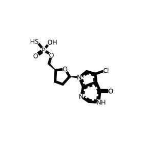 O=c1[nH]cnc2c1c(Cl)cn2[C@H]1CC[C@@H](COP(=O)(O)S)O1